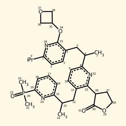 CC(C)c1ccc(CC(C)c2ccc(CC(C)c3cccc(P(C)(C)=O)n3)c(C3CCOC3=O)n2)c(OC2COC2)n1